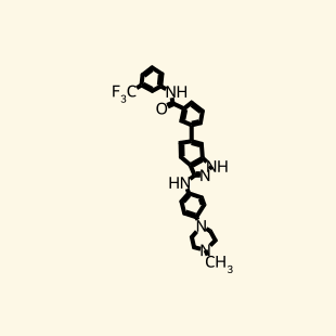 CN1CCN(c2ccc(Nc3n[nH]c4cc(-c5cccc(C(=O)Nc6cccc(C(F)(F)F)c6)c5)ccc34)cc2)CC1